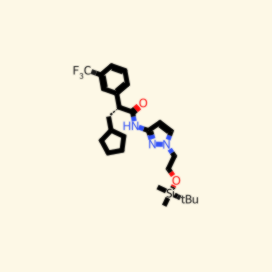 CC(C)(C)[Si](C)(C)OCCn1ccc(NC(=O)[C@H](CC2CCCC2)c2cccc(C(F)(F)F)c2)n1